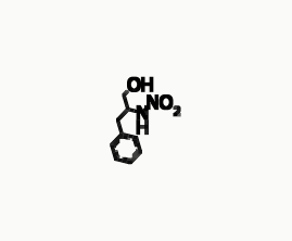 O=[N+]([O-])NC(CO)Cc1ccccc1